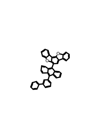 c1ccc(-c2cccc(-c3c4ccccc4c(-c4cc5c6ccccc6oc5c5c4oc4ccccc45)c4ccccc34)c2)cc1